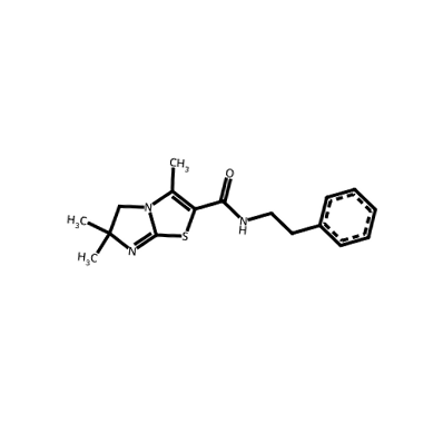 CC1=C(C(=O)NCCc2ccccc2)SC2=NC(C)(C)CN21